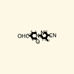 Cc1cc(-n2ccc(C=O)cc2=O)ncc1C#N